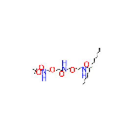 CCCCCCCCC(CCCCCC)C(=O)NCCCOCCNC(=O)CCOCCNC(=O)OC(C)(C)C